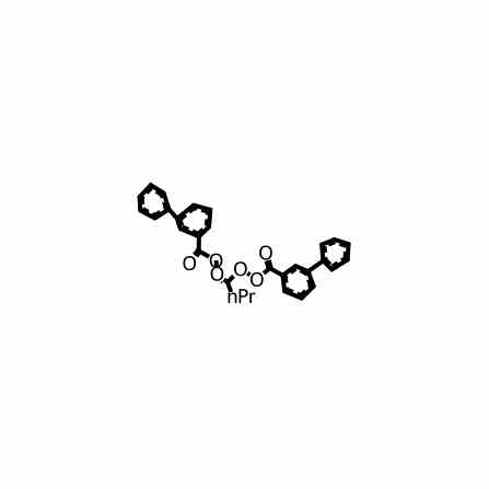 [CH2]CC[C](OOC(=O)c1cccc(-c2ccccc2)c1)OOC(=O)c1cccc(-c2ccccc2)c1